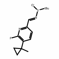 CC1(c2ccc(C=N[S+]([O-])C(C)(C)C)nc2F)CC1